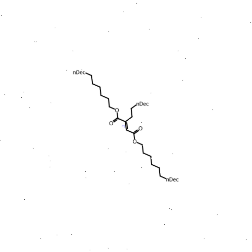 CCCCCCCCCCCCCCCCOC(=O)/C=C(\CCCCCCCCCCCC)C(=O)OCCCCCCCCCCCCCCCC